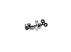 N#C[C@@H]1SCCN1C(=O)[C@@H](N)CCCCNC(=O)OCC1c2ccccc2-c2ccccc21